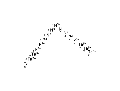 [N-3].[N-3].[N-3].[N-3].[N-3].[P-3].[P-3].[P-3].[P-3].[P-3].[Ta+5].[Ta+5].[Ta+5].[Ta+5].[Ta+5].[Ta+5]